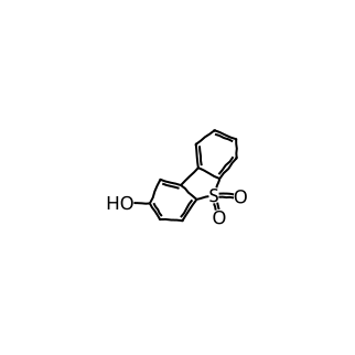 O=S1(=O)c2ccccc2-c2cc(O)ccc21